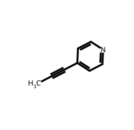 CC#Cc1ccncc1